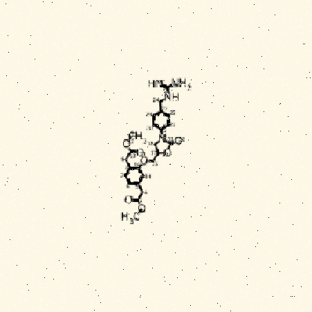 COC(=O)Cc1ccc(CC(=O)OC)c(OCC2CN(c3ccc(CNC(=N)N)cc3)C(=O)O2)c1